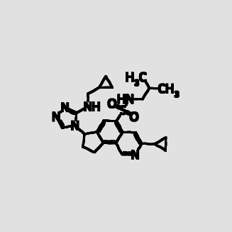 CC(C)CNS(=O)(=O)c1cc2c(c3cnc(C4CC4)cc13)CCC2n1cnnc1NCC1CC1